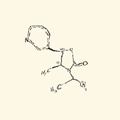 CC(C)N1C(=O)O[C@H](c2cccnc2)[C@@H]1C